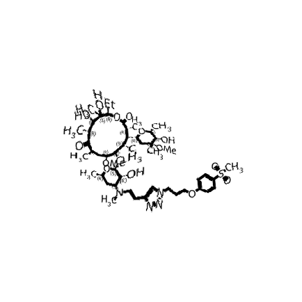 CC[C@H]1OC(=O)[C@H](C)C([C@H]2C[C@@](C)(OC)[C@@H](O)[C@H](C)O2)[C@H](C)[C@@H](O[C@@H]2O[C@H](C)C[C@H](N(C)CCc3cn(CCCOc4ccc(S(C)(=O)=O)cc4)nn3)[C@H]2O)[C@H](OC)C[C@@H](C)C(=O)[C@H](C)[C@@H](O)[C@]1(C)O